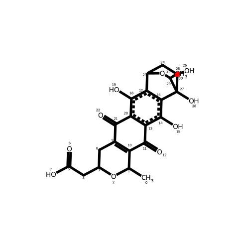 CC1OC(CC(=O)O)CC2=C1C(=O)c1c(O)c3c(c(O)c1C2=O)C1CC(O)C3(O)C(C)O1